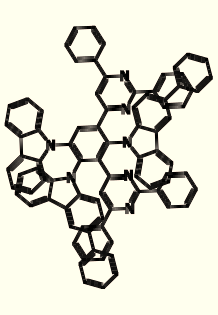 c1ccc(-c2ccc3c(c2)c2ccccc2n3-c2c(-c3cc(-c4ccccc4)nc(-c4ccccc4)n3)cc(-n3c4ccccc4c4ccccc43)c(-n3c4ccccc4c4cc(-c5ccccc5)ccc43)c2-c2cc(-c3ccccc3)nc(-c3ccccc3)n2)cc1